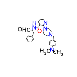 CN(C)c1ccc(CN2CCCN(c3ncccc3C(=O)NC(C=O)Cc3ccccc3)CC2)cc1